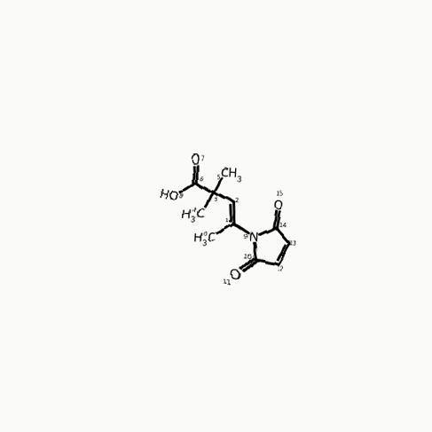 C/C(=C\C(C)(C)C(=O)O)N1C(=O)C=CC1=O